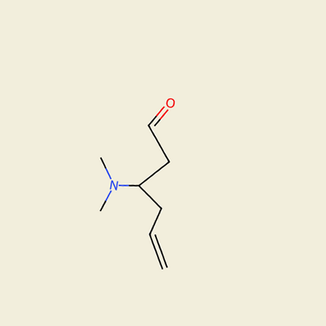 C=CCC(CC=O)N(C)C